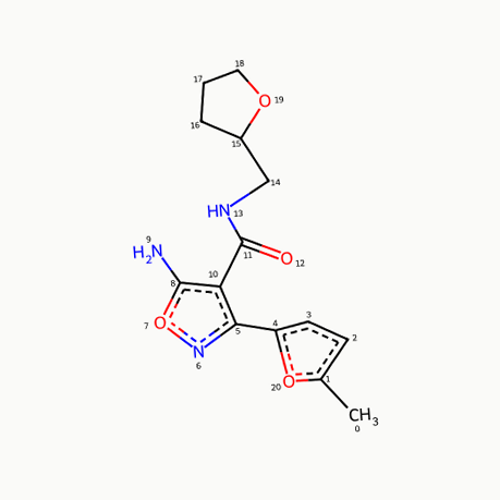 Cc1ccc(-c2noc(N)c2C(=O)NCC2CCCO2)o1